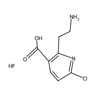 F.NCCc1nc(Cl)ccc1C(=O)O